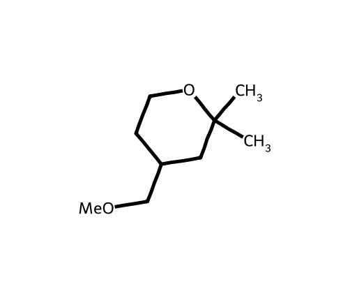 COCC1CCOC(C)(C)C1